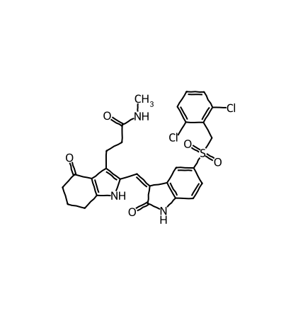 CNC(=O)CCc1c(C=C2C(=O)Nc3ccc(S(=O)(=O)Cc4c(Cl)cccc4Cl)cc32)[nH]c2c1C(=O)CCC2